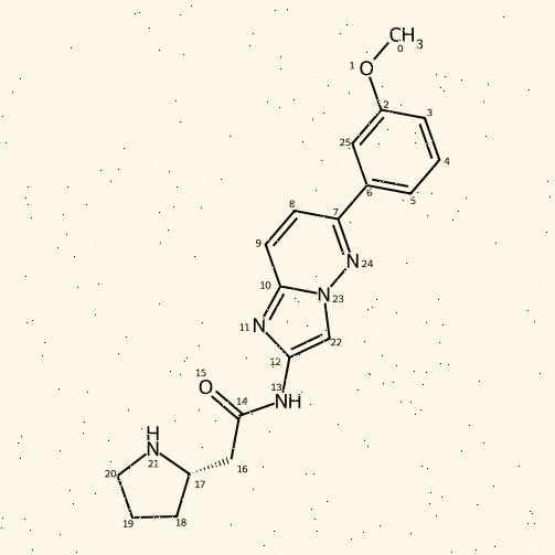 COc1cccc(-c2ccc3nc(NC(=O)C[C@@H]4CCCN4)cn3n2)c1